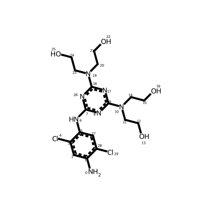 Nc1cc(Cl)c(Nc2nc(N(CCO)CCO)nc(N(CCO)CCO)n2)cc1Cl